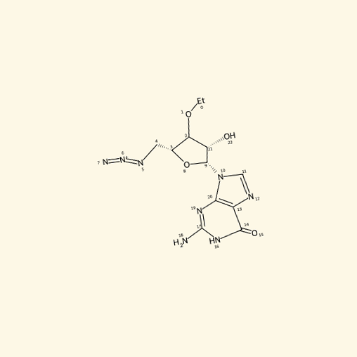 CCOC1[C@@H](CN=[N+]=[N-])O[C@@H](n2cnc3c(=O)[nH]c(N)nc32)[C@H]1O